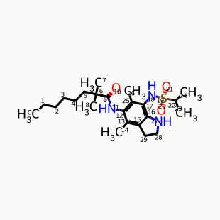 CCCCCCC(C)(C)C(=O)Nc1c(C)c2c(c(NS(=O)(=O)C(C)C)c1C)NCC2